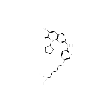 CCN(CC)CCCCNc1ccc(Nc2ncc3cc(Br)c(=O)n(C4CCCC4)c3n2)nc1